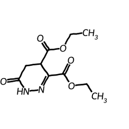 CCOC(=O)C1=NNC(=O)CC1C(=O)OCC